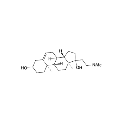 CNCC[C@]1(O)CC[C@H]2[C@@H]3CC=C4C[C@@H](O)CC[C@]4(C)[C@H]3CC[C@@]21C